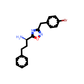 N[C@H](CCc1ccccc1)c1nc(Cc2ccc(Br)cc2)no1